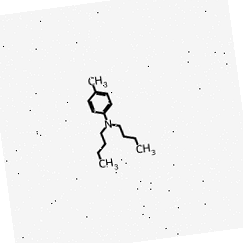 CCCCN(CCCC)c1ccc(C)cc1